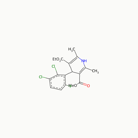 CCOC(=O)C1=C(C)NC(C)=C(C(=O)OC)C1c1c(F)ccc(Cl)c1Cl